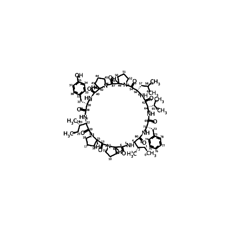 CC[C@H](C)[C@@H]1NC(=O)[C@@H]2CCCN2C(=O)[C@@H]2CCCN2C(=O)[C@H]([C@@H](C)CC)NC(=O)[C@H](Cc2ccc(O)cc2)NC(=O)[C@@H]2CCCN2C(=O)[C@@H]2CCCN2C(=O)[C@H](CC(C)C)NC(=O)[C@H](C(C)C)NC(=O)[C@H](Cc2ccccc2)NC1=O